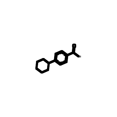 [CH2]C(=O)c1ccc(C2CCCCC2)cc1